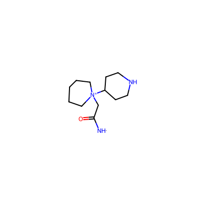 [NH]C(=O)C[N+]1(C2CCNCC2)CCCCC1